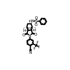 C[C@]12O[C@](C)(C[C@@H]1NS(=O)(=O)c1ccccc1)[C@@H]1C(=O)N(c3ccc(C#N)c(C(F)(F)F)c3)C(=O)[C@@H]12